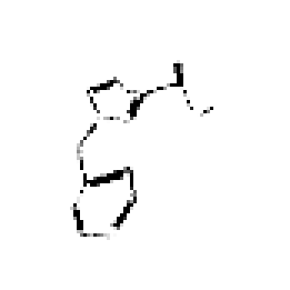 COC(=O)c1ccn(Cc2ccncc2)c1